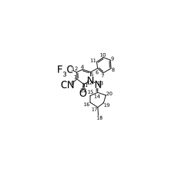 [C-]#[N+]c1c(C(F)(F)F)cc(-c2ccccc2)n(N=C2CCC(C)CC2)c1=O